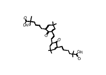 CC1(C)C=C(C=CC2=CC(C)(C)C=C(CCCCC(C)(C)C(=O)O)C2=O)C(=O)C(CCCCC(C)(C)C(=O)O)=C1